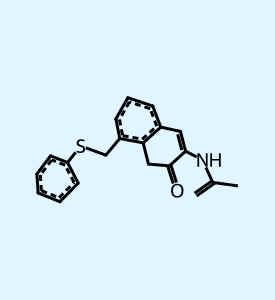 C=C(C)NC1=Cc2cccc(CSc3ccccc3)c2CC1=O